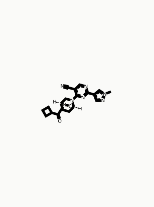 Cn1cc(-c2ncc(C#N)c(N3C[C@@H]4CC[C@H]3CN4C(=O)C3CCC3)n2)cn1